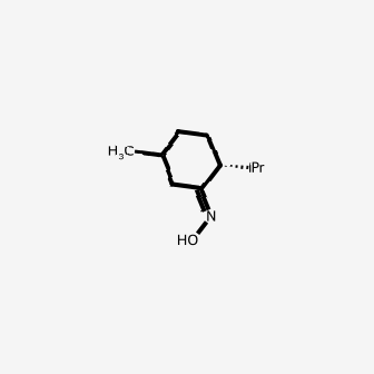 CC1CC[C@H](C(C)C)C(=NO)C1